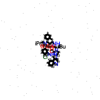 CC[C@H](C)[C@@H](C(=O)N[C@@H](Cc1ccccc1)[C@H](O)CN(CC(C)C)S(=O)(=O)c1ccc(Cl)c(N)c1)N1CCN(Cc2ccnc3ccccc23)C1=O